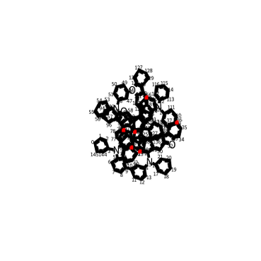 c1ccc(N(c2cccc(-c3cccc(N(c4ccccc4)c4cc5c(c6cc7c(cc46)oc4ccccc47)-c4c(c6ccc(N(c7ccccc7)c7ccccc7)cc6c6c4oc4ccccc46)C54c5ccccc5-c5ccccc54)c3)c2)c2ccc3c4c(c5oc6ccccc6c5c3c2)-c2c(cc(N(c3ccccc3)c3ccccc3)c3cc5c(cc23)oc2ccccc25)C42c3ccccc3-c3ccccc32)cc1